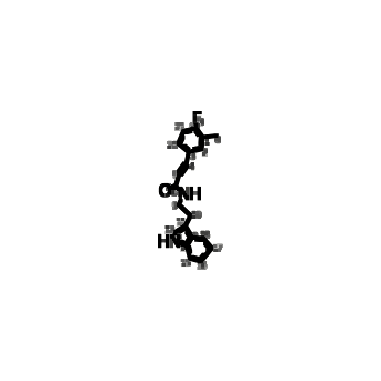 Cc1cc(C#CC(=O)NCCc2c[nH]c3ccccc23)ccc1F